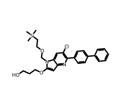 C[Si](C)(C)CCOCn1c(OCCCO)cc2nc(-c3ccc(-c4ccccc4)cc3)c(Cl)cc21